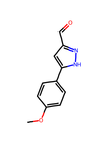 COc1ccc(-c2cc([C]=O)n[nH]2)cc1